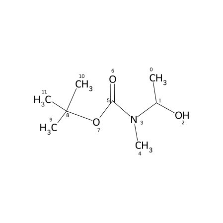 CC(O)N(C)C(=O)OC(C)(C)C